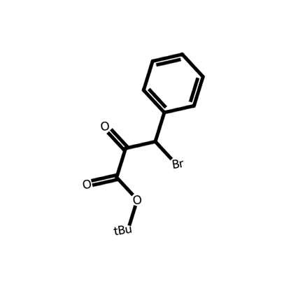 CC(C)(C)OC(=O)C(=O)C(Br)c1ccccc1